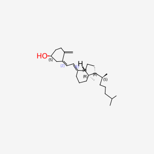 C=C1CC[C@H](O)C/C1=C/C=C1\CCC[C@]2(C)[C@@H]([C@@H](C)CCCC(C)C)CC[C@@H]12